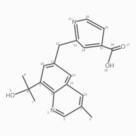 Cc1cnc2c(C(C)(C)O)cc(Cc3cc(C(=O)O)ccn3)cc2c1